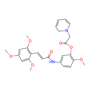 COc1cc(OC)c(C=CC(=O)Nc2ccc(OC)c(OC(=O)CN3C=CC=CC3)c2)c(OC)c1